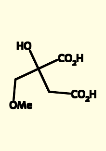 COCC(O)(CC(=O)O)C(=O)O